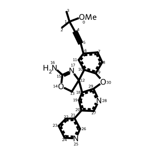 COC(C)(C)C#Cc1ccc2c(c1)C1(COC(N)=N1)c1cc(-c3cccnc3)cnc1O2